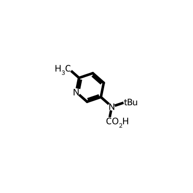 Cc1ccc(N(C(=O)O)C(C)(C)C)cn1